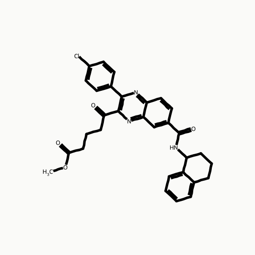 COC(=O)CCCC(=O)c1nc2cc(C(=O)NC3CCCc4ccccc43)ccc2nc1-c1ccc(Cl)cc1